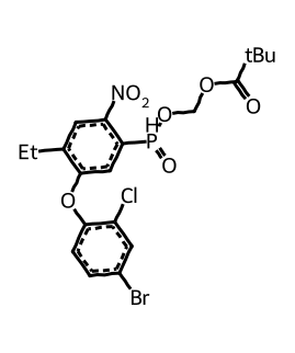 CCc1cc([N+](=O)[O-])c([PH](=O)OCOC(=O)C(C)(C)C)cc1Oc1ccc(Br)cc1Cl